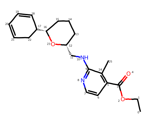 CCOC(=O)c1ccnc(NC[C@H]2CCC[C@@H](C3C=CC=CC3)O2)c1C